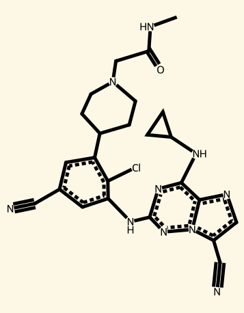 CNC(=O)CN1CCC(c2cc(C#N)cc(Nc3nc(NC4CC4)c4ncc(C#N)n4n3)c2Cl)CC1